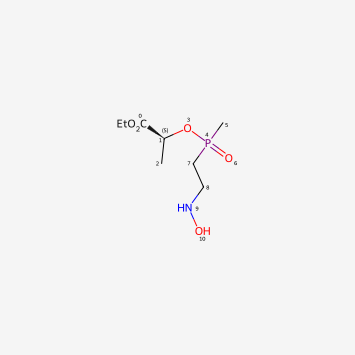 CCOC(=O)[C@H](C)OP(C)(=O)CCNO